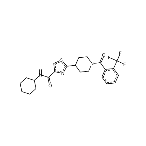 O=C(NC1CCCCC1)c1csc(C2CCN(C(=O)c3ccccc3C(F)(F)F)CC2)n1